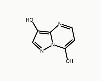 Oc1cnn2c(O)ccnc12